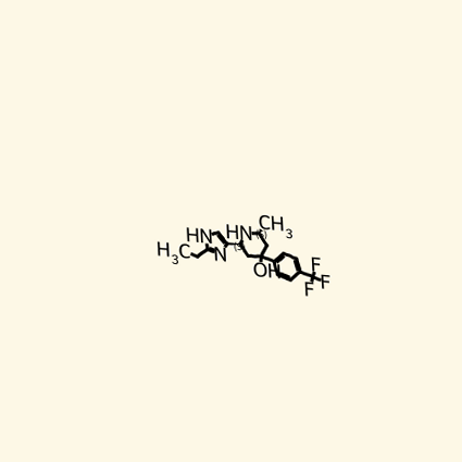 CCc1nc([C@@H]2CC(O)(c3ccc(C(F)(F)F)cc3)C[C@H](C)N2)c[nH]1